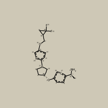 C[C@H](N)c1ccc(O[C@@H]2CCN(c3ccc(OCC4CC4(F)F)cn3)C2)cc1